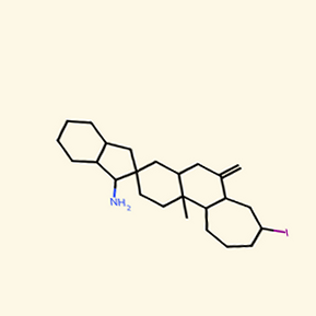 C=C1CC2CC3(CCC2(C)C2CCCC(I)CC12)CC1CCCCC1C3N